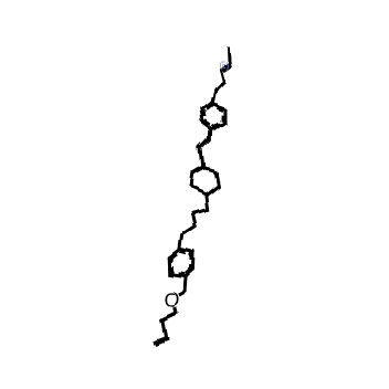 C=CCCOCc1ccc(CCCCC2CCC(CCc3ccc(CC/C=C/C)cc3)CC2)cc1